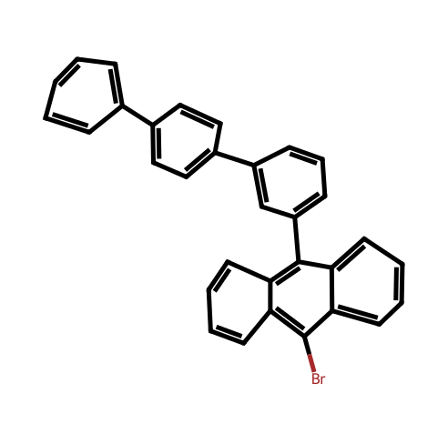 Brc1c2ccccc2c(-c2cccc(-c3ccc(-c4ccccc4)cc3)c2)c2ccccc12